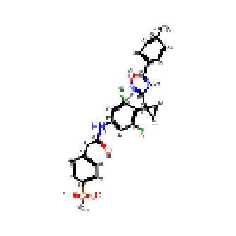 CCS(=O)(=O)c1ccc(CC(=O)Nc2cc(F)c(C3(c4noc(-c5ccc(C#N)cc5)n4)CC3)c(Cl)c2)cc1